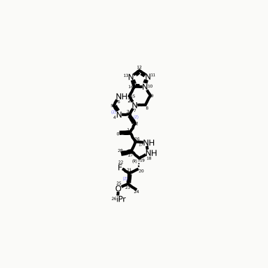 C=C(/C=C(\N=C/N)N1CCn2ncnc2C1)C1NN[C@H](C/C(F)=C(\C)OC(C)C)C1=C